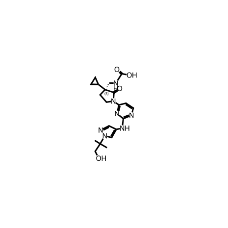 CC(C)(CO)n1cc(Nc2nccc(N3CC[C@@](CNC(=O)O)(C4CC4)C3=O)n2)cn1